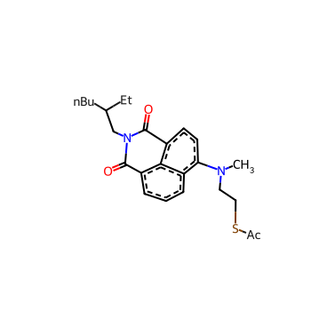 CCCCC(CC)CN1C(=O)c2cccc3c(N(C)CCSC(C)=O)ccc(c23)C1=O